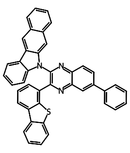 c1ccc(-c2ccc3nc(-n4c5ccccc5c5cc6ccccc6cc54)c(-c4cccc5c4sc4ccccc45)nc3c2)cc1